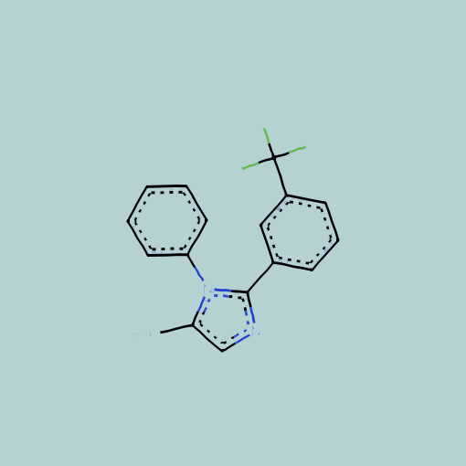 Cc1cnc(-c2cccc(C(F)(F)F)c2)n1-c1ccccc1